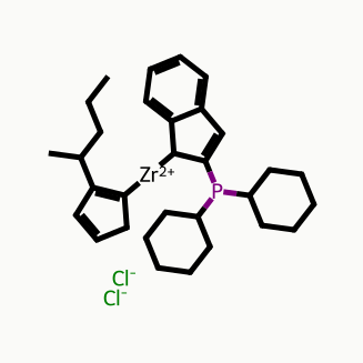 CCCC(C)C1=[C]([Zr+2][CH]2C(P(C3CCCCC3)C3CCCCC3)=Cc3ccccc32)CC=C1.[Cl-].[Cl-]